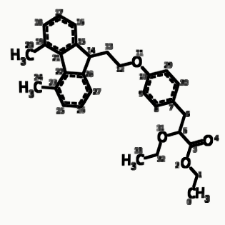 CCOC(=O)C(Cc1ccc(OCCC2c3cccc(C)c3-c3c(C)cccc32)cc1)OCC